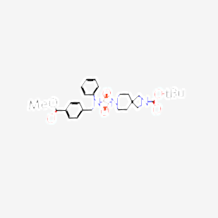 COC(=O)c1ccc(CN(c2ccccc2)S(=O)(=O)N2CCC3(CC2)CN(C(=O)OC(C)(C)C)C3)cc1